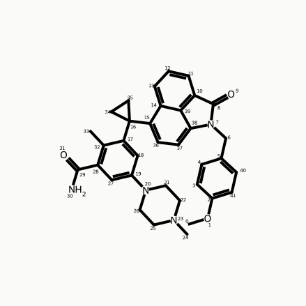 COc1ccc(CN2C(=O)c3cccc4c(C5(c6cc(N7CCN(C)CC7)cc(C(N)=O)c6C)CC5)ccc2c34)cc1